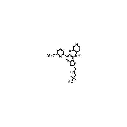 COc1cccc(-c2nc(Nc3ccncc3F)c3cc(CNCC(C)(C)O)cn3n2)n1